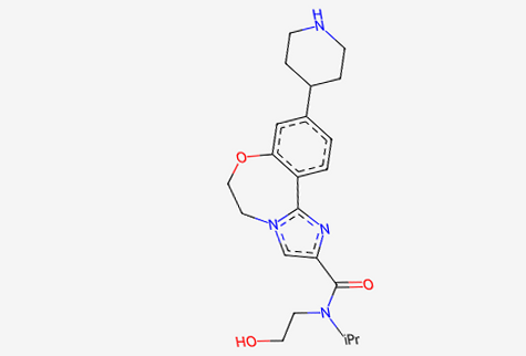 CC(C)N(CCO)C(=O)c1cn2c(n1)-c1ccc(C3CCNCC3)cc1OCC2